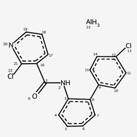 O=C(Nc1ccccc1-c1ccc(Cl)cc1)c1cccnc1Cl.[AlH3]